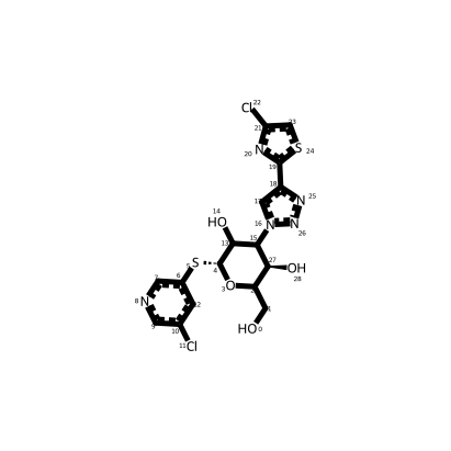 OCC1O[C@H](Sc2cncc(Cl)c2)C(O)C(n2cc(-c3nc(Cl)cs3)nn2)[C@H]1O